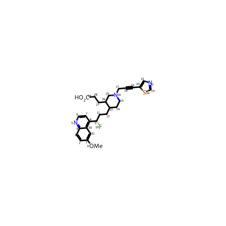 COc1ccc2nccc([C@@H](F)CCC3CCN(CC#Cc4cncs4)CC3CCC(=O)O)c2c1